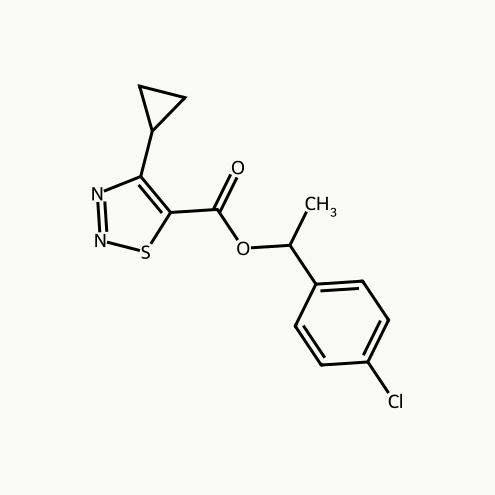 CC(OC(=O)c1snnc1C1CC1)c1ccc(Cl)cc1